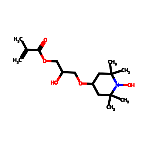 C=C(C)C(=O)OCC(O)COC1CC(C)(C)N(O)C(C)(C)C1